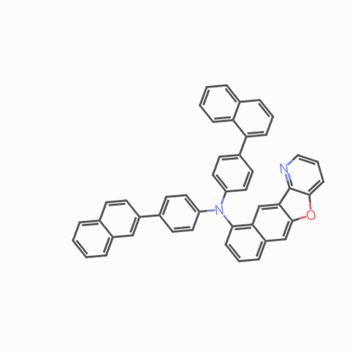 c1ccc2cc(-c3ccc(N(c4ccc(-c5cccc6ccccc56)cc4)c4cccc5cc6oc7cccnc7c6cc45)cc3)ccc2c1